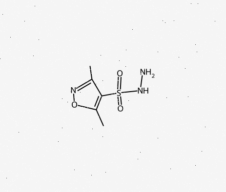 Cc1noc(C)c1S(=O)(=O)NN